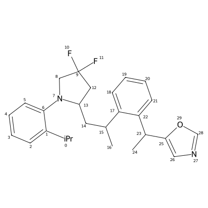 CC(C)c1ccccc1N1CC(F)(F)CC1CC(C)c1ccccc1C(C)c1cnco1